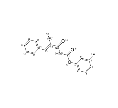 CCc1cccc(OC(=O)NC(=O)C(=Cc2ccccc2)C(C)=O)c1